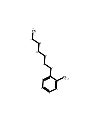 Cc1ccccc1CCCCCCC#N